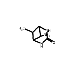 CC1C2NC(=O)NC1C2N